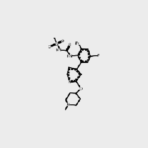 CC(C)c1cc(F)cc(-c2ccnc(OC3CCN(C)CC3)c2)c1NC(=O)NS(C)(=O)=O